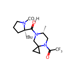 C[C@@H]1CN(C(=O)C(F)(F)F)C2(CC2)CN1C(=O)[C@@]1(C(C)(C)C)CCCN1C(=O)O